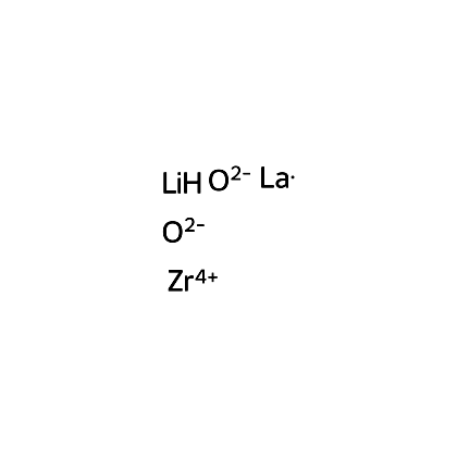 [La].[LiH].[O-2].[O-2].[Zr+4]